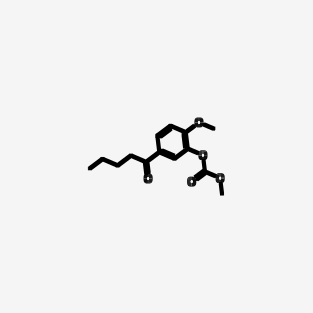 CCCCC(=O)c1ccc(OC)c(OC(=O)OC)c1